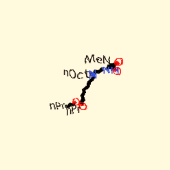 CCCCCCCCN(CCCCCCCC(=O)OCCC(CCC)CCC)CCCNc1c(NC)c(=O)c1=O